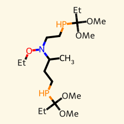 CCON(CCPC(CC)(OC)OC)C(C)CCPC(CC)(OC)OC